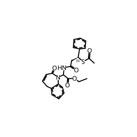 CCOC(=O)C(NC(=O)C[C@H](SC(C)=O)c1ccccc1)N1C(=O)C=CCc2ccccc21